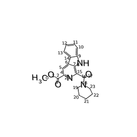 COC(=O)c1cc2c([nH]c3ccccc32)c(C(=O)N2CCCCC2)n1